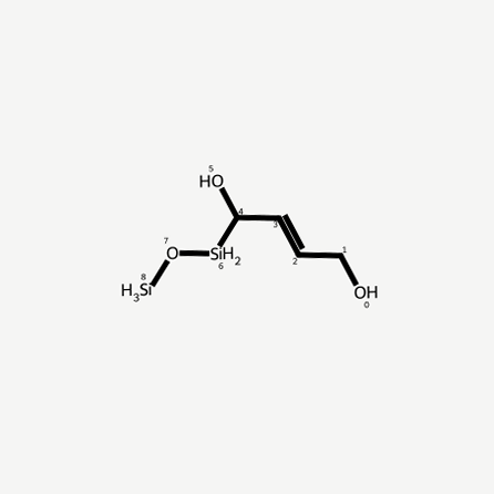 OCC=CC(O)[SiH2]O[SiH3]